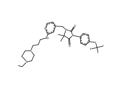 CCN1CCN(CCCNc2cc(CN3C(=O)N(c4ccc(SC(F)(F)F)cc4)C(=O)C3(C)C)ccn2)CC1